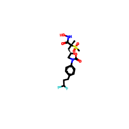 C[C@@](C[C@H]1CN(c2ccc(CCC(F)F)cc2)C(=O)O1)(C(=O)NO)S(C)(=O)=O